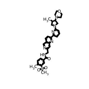 Cc1ccc(C(=O)NCc2cc3nc(-c4cccc(N5CC(C)C(N6CCOCC6)C5)n4)ccc3cn2)cc1S(C)(=O)=O